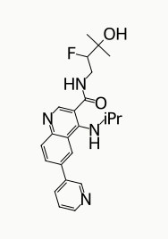 CC(C)Nc1c(C(=O)NCC(F)C(C)(C)O)cnc2ccc(-c3cccnc3)cc12